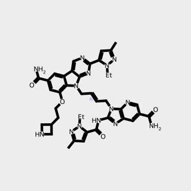 CCn1nc(C)cc1C(=O)Nc1nc2cc(C(N)=O)cnc2n1C/C=C/Cn1c2nc(-c3cc(C)nn3CC)ncc2c2cc(C(N)=O)cc(OCCC3CNC3)c21